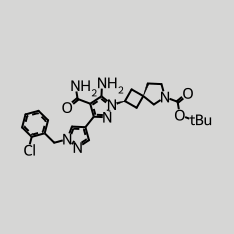 CC(C)(C)OC(=O)N1CC[C@]2(C1)C[C@H](n1nc(-c3cnn(Cc4ccccc4Cl)c3)c(C(N)=O)c1N)C2